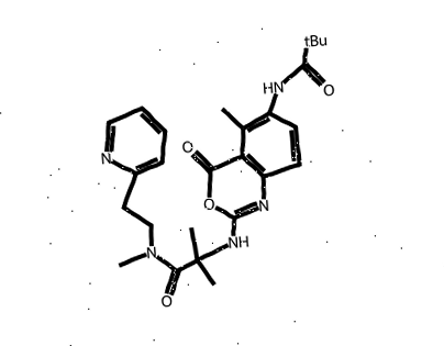 Cc1c(NC(=O)C(C)(C)C)ccc2nc(NC(C)(C)C(=O)N(C)CCc3ccccn3)oc(=O)c12